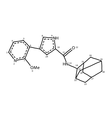 COc1ncccc1-c1c[nH]c(C(=O)NC2C3CC4CC(C3)CC2C4)c1